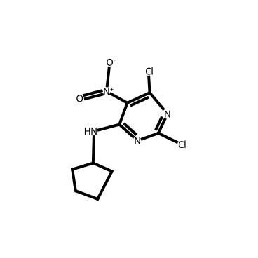 O=[N+]([O-])c1c(Cl)nc(Cl)nc1NC1CCCC1